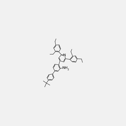 CCc1ccc(-c2cc(-c3ccc(-c4ccc(C(C)(C)C)cc4)cc3N)cc(-c3ccc(CC)cc3CC)n2)c(CC)c1